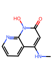 CNc1cc(=O)n(O)c2ncccc12